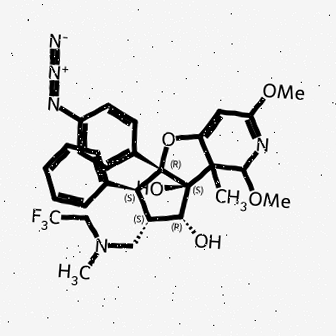 COC1=NC(OC)C2(C)C(=C1)O[C@@]1(c3ccc(N=[N+]=[N-])cc3)[C@H](c3ccccc3)[C@@H](CN(C)CC(F)(F)F)[C@@H](O)[C@@]21O